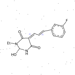 CCN1C(=O)/C(=C/C=C/c2cccc(F)c2)C(=O)NC1O